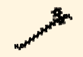 CCCCCCCCCCCCCCCCC[n+]1ccn(C)c1-c1ccccc1